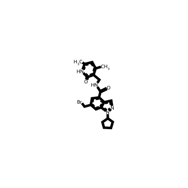 Cc1cc(C)c(CNC(=O)c2cc(CBr)cc3c2cnn3C2CCCC2)c(=O)[nH]1